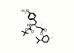 CC(C)[C@@H]1CC[C@@H](C)C[C@H]1OC(=O)[C@@H](C)C[C@H](Cc1ccc(N)cc1)NC(=O)OC(C)(C)C